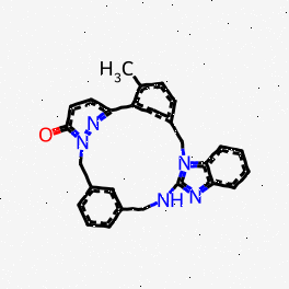 Cc1ccc2cc1-c1ccc(=O)n(n1)Cc1cccc(c1)CNc1nc3ccccc3n1C2